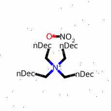 CCCCCCCCCCC[N+](CCCCCCCCCCC)(CCCCCCCCCCC)CCCCCCCCCCC.O=[N+]([O-])[O-]